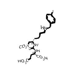 O=C(O)CC[C@H](NC(=O)N[C@@H](CCCCNCc1ccc(I)cc1)CC(=O)O)C(=O)O